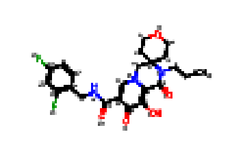 CCCN1C(=O)c2c(O)c(=O)c(C(=O)NCc3ccc(F)cc3F)cn2CC12CCOCC2